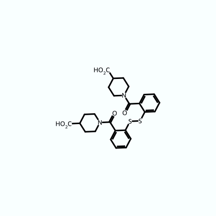 O=C(O)C1CCN(C(=O)c2ccccc2SSc2ccccc2C(=O)N2CCC(C(=O)O)CC2)CC1